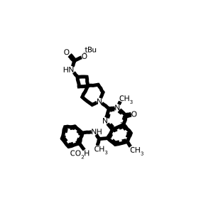 Cc1cc(C(C)Nc2ccccc2C(=O)O)c2nc(N3CCC4(CC3)CC(NC(=O)OC(C)(C)C)C4)n(C)c(=O)c2c1